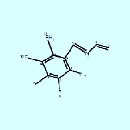 C=CN=Cc1c(F)c(F)c(C)c(F)c1P